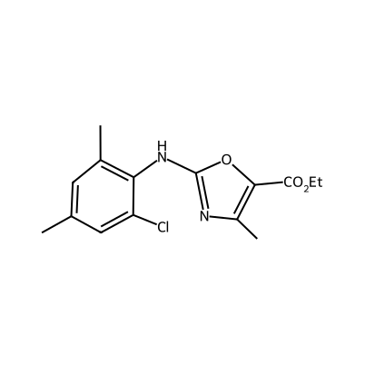 CCOC(=O)c1oc(Nc2c(C)cc(C)cc2Cl)nc1C